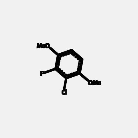 COc1ccc(OC)c(Cl)c1F